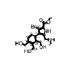 CNCc1[nH]c(C(=O)OC)c(Br)c1-c1ccc(CO)c(CO)c1CO